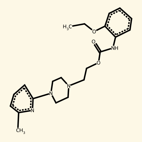 CCOc1ccccc1NC(=O)OCCN1CCN(c2cccc(C)n2)CC1